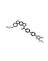 CCN1CCC2(CC1)COc1cc3c(cc12)N(C(=O)c1ccc(-c2ccc(N4CNC(C)O4)cc2)cc1)CC3